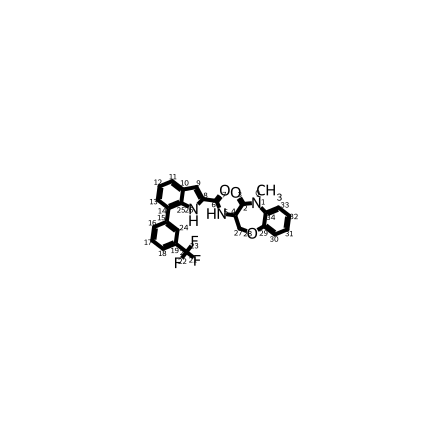 CN1C(=O)C(NC(=O)c2cc3cccc(-c4cccc(C(F)(F)F)c4)c3[nH]2)COc2ccccc21